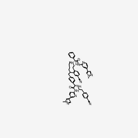 CCCCC(Cc1ccc([C@H](NCCc2ccc(C#N)cc2)C(=O)Nc2ccc(-c3cnn(C)c3)cn2)cc1)c1cc(C#N)ccc1CCN[C@@H](C(=O)Nc1cc(-c2cnn(C)c2)ccn1)c1ccccc1